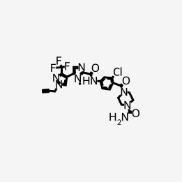 C#CCn1cc(-c2cnc(C(=O)Nc3ccc(C(=O)N4CCN(C(N)=O)CC4)c(Cl)c3)n2C)c(C(F)(F)F)n1